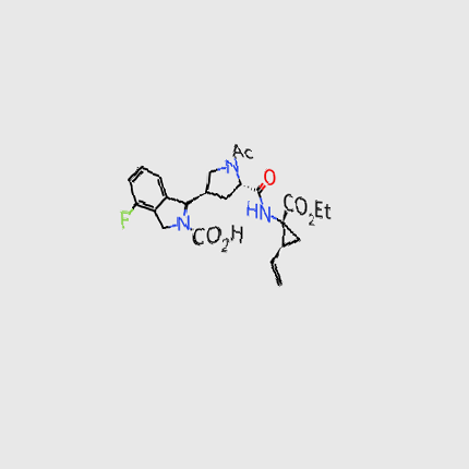 C=C[C@@H]1C[C@]1(NC(=O)[C@@H]1C[C@@H](C2c3cccc(F)c3CN2C(=O)O)CN1C(C)=O)C(=O)OCC